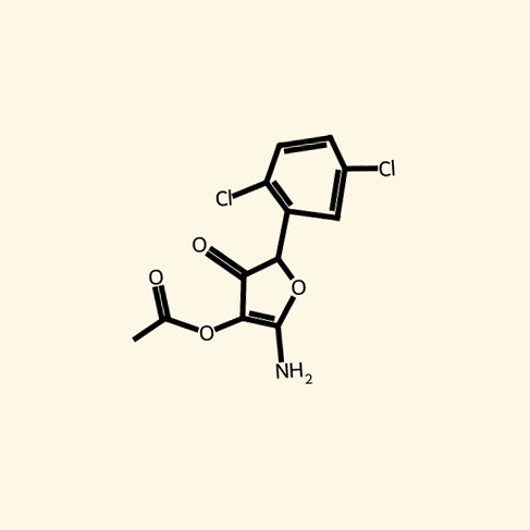 CC(=O)OC1=C(N)OC(c2cc(Cl)ccc2Cl)C1=O